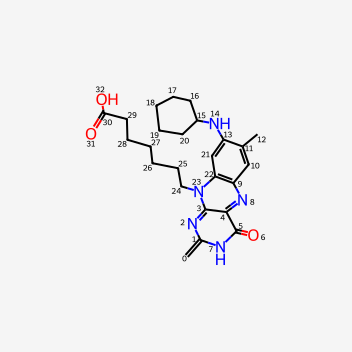 C=c1nc2c(c(=O)[nH]1)=Nc1cc(C)c(NC3CCCCC3)cc1N2CCCCCCC(=O)O